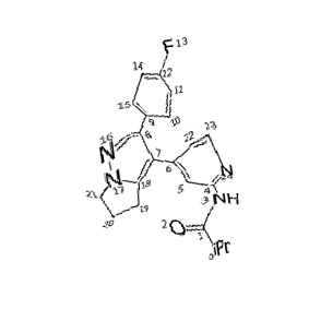 CC(C)C(=O)Nc1cc(-c2c(-c3ccc(F)cc3)nn3c2CCC3)ccn1